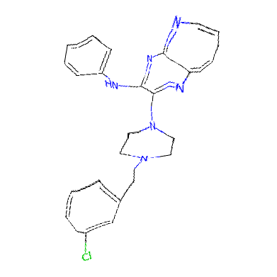 Clc1cccc(CN2CCN(c3nc4cccnc4nc3Nc3ccccc3)CC2)c1